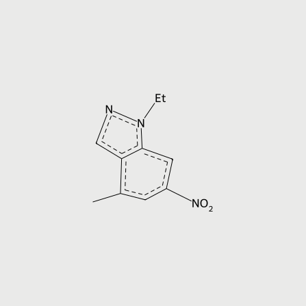 CCn1ncc2c(C)cc([N+](=O)[O-])cc21